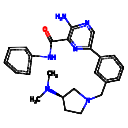 CN(C)[C@@H]1CCN(Cc2cccc(-c3cnc(N)c(C(=O)Nc4ccccc4)n3)c2)C1